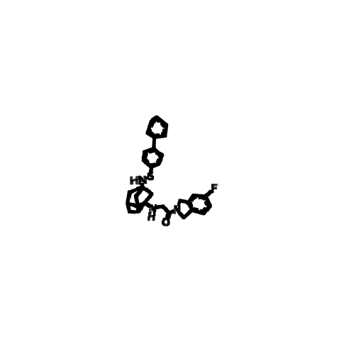 O=C(CNC12CC3CC1CC(NSc1ccc(-c4ccccc4)cc1)(C3)C2)N1Cc2ccc(F)cc2C1